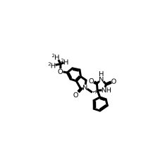 [2H]C([2H])([2H])Oc1ccc2c(c1)C(=O)N(C[C@@]1(c3ccccc3)NC(=O)NC1=O)C2